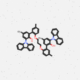 Cc1ccc(OCCCOc2ccc(C)cc2-c2cc(C(C)(C)C)cc(-n3c4ccccc4c4ccccc43)c2O)c(-c2cc(C(C)(C)C)cc(-n3c4ccccc4c4ccccc43)c2O)c1